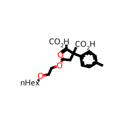 C=C(C(=O)O)C(CC(=O)OCCOCCCCCC)(C(=O)O)c1ccc(C)cc1